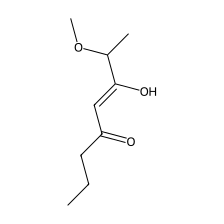 CCCC(=O)/C=C(\O)C(C)OC